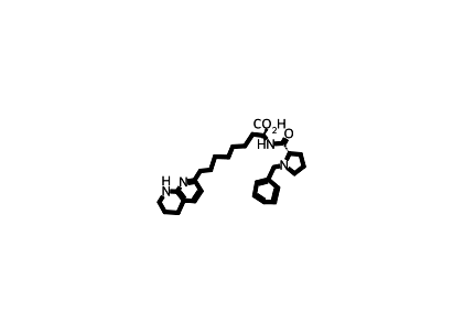 O=C(O)[C@H](CCCCCCCc1ccc2c(n1)NCCC2)NC(=O)[C@@H]1CCCN1Cc1ccccc1